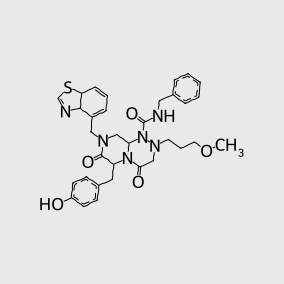 COCCCN1CC(=O)N2C(Cc3ccc(O)cc3)C(=O)N(CC3=CC=CC4SC=NC34)CC2N1C(=O)NCc1ccccc1